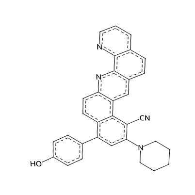 N#Cc1c(N2CCCCC2)cc(-c2ccc(O)cc2)c2ccc3nc4c(ccc5cccnc54)cc3c12